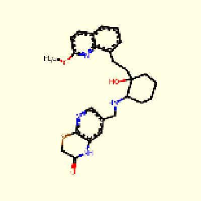 COc1ccc2cccc(CCC3(O)CCCCC3NCc3cnc4c(c3)NC(=O)CS4)c2n1